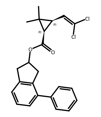 CC1(C)[C@H](C(=O)OC2Cc3cccc(-c4ccccc4)c3C2)[C@@H]1C=C(Cl)Cl